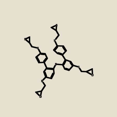 c1cc(Sc2ccc(SCC3CO3)cc2-c2ccc(SCC3CS3)cc2)c(-c2ccc(SCC3CS3)cc2)cc1SCC1CO1